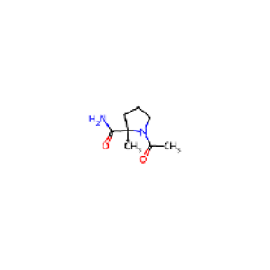 CC(=O)N1CCC[C@@]1(C)C(N)=O